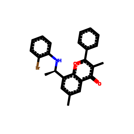 Cc1cc([C@@H](C)Nc2ccccc2Br)c2oc(-c3ccccc3)c(C)c(=O)c2c1